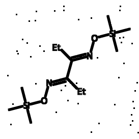 CCC(=N\O[Si](C)(C)C)/C(CC)=N/O[Si](C)(C)C